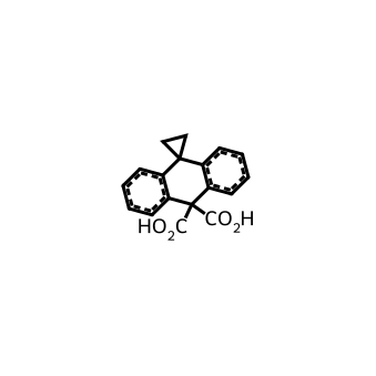 O=C(O)C1(C(=O)O)c2ccccc2C2(CC2)c2ccccc21